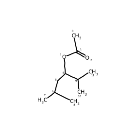 CC(=O)OC(CC(C)C)C(C)C